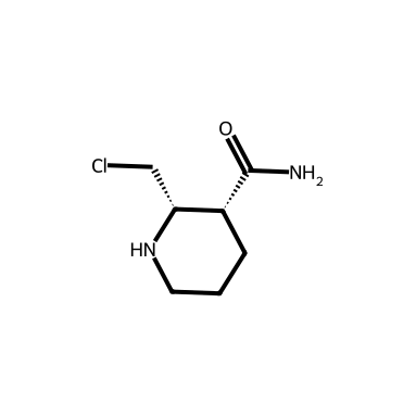 NC(=O)[C@@H]1CCCN[C@@H]1CCl